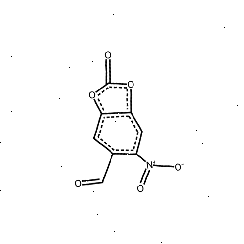 O=Cc1cc2oc(=O)oc2cc1[N+](=O)[O-]